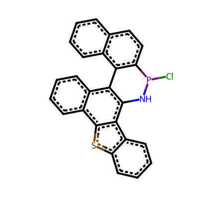 ClP1Nc2c(c3ccccc3c3sc4ccccc4c23)-c2c1ccc1ccccc21